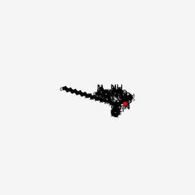 CCCCCCCCCCCCCCCCCCC[C@H](COP(=O)(OC[C@@]1(C#N)O[C@@H](c2ccc3c(N)ncnn23)[C@@H]2OC(C)(C)O[C@@H]21)Oc1ccccc1Cl)Oc1ccc(C#N)c(OC(C)C)c1